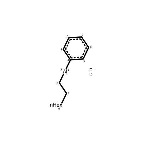 CCCCCCC[CH2][Al+][c]1ccccc1.[F-]